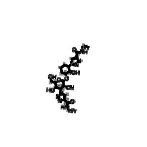 CCCNC(=O)c1cn(C2CCC[C@@H](O[C@@H]3OC(CO)[C@H](O)C(n4cc(C(=O)NCCC)nn4)[C@@H]3O)C2O)nn1